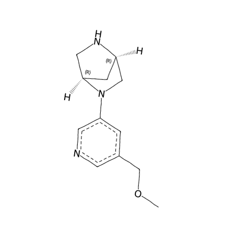 COCc1cncc(N2C[C@H]3C[C@@H]2CN3)c1